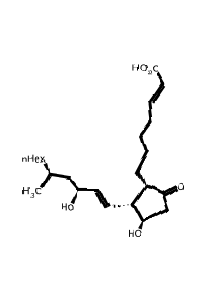 CCCCCC[C@H](C)C[C@H](O)/C=C/[C@H]1[C@H](O)CC(=O)[C@@H]1CCCC/C=C/C(=O)O